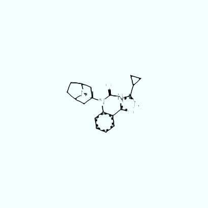 CN1C2CCC1CC(N(C(N)=O)c1ccccc1-c1nc(C3CC3)no1)C2